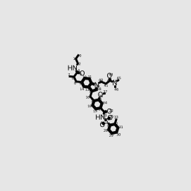 CCCNC(=O)C(C)Cc1ccc2c(c1)c(Cc1ccc(C(=O)NS(=O)(=O)c3ccccc3C)cc1OC)cn2CCC(=O)N(C)C